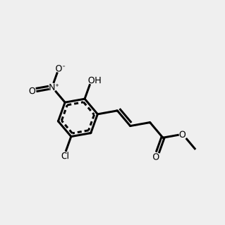 COC(=O)CC=Cc1cc(Cl)cc([N+](=O)[O-])c1O